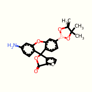 C=C1OB(c2ccc3c(c2)Oc2cc(N)ccc2C32OC(=O)c3ccccc32)OC1(C)C